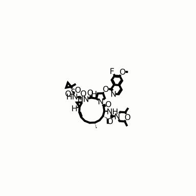 CC[C@@H]1C[C@H](C)CCC=C[C@@H]2C[C@@]2(C(=O)NS(=O)(=O)C2(C)CC2)NC(=O)[C@@H]2C[C@@H](Oc3nccc4cc(OC)c(F)cc34)CN2C(=O)[C@H]1NC(=O)N1CC(C)OC(C)C1